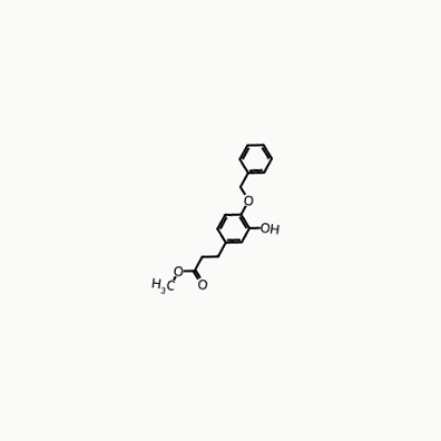 COC(=O)CCc1ccc(OCc2ccccc2)c(O)c1